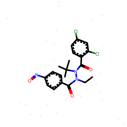 CCN(C(=O)c1ccc(N=O)cc1)N(C(=O)c1ccc(Cl)cc1Cl)C(C)(C)C